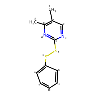 Cc1cnc(SSc2ccccc2)nc1C